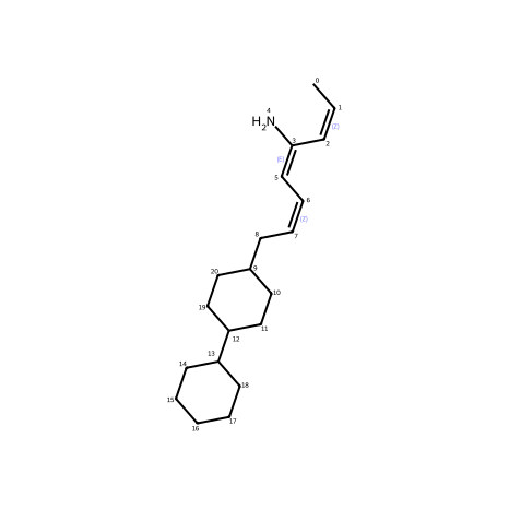 C\C=C/C(N)=C\C=C/CC1CCC(C2CCCCC2)CC1